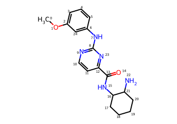 COc1cccc(Nc2nccc(C(=O)NC3CCCCC3N)n2)c1